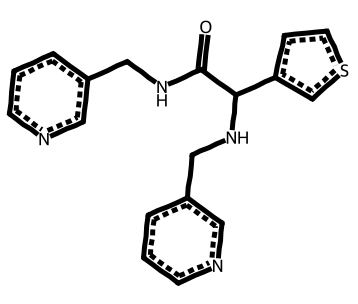 O=C(NCc1cccnc1)C(NCc1cccnc1)c1ccsc1